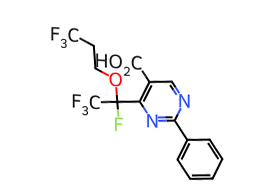 O=C(O)c1cnc(-c2ccccc2)nc1C(F)(OCCC(F)(F)F)C(F)(F)F